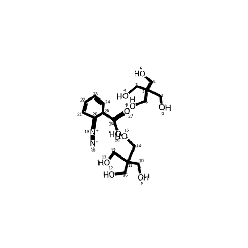 OCC(CO)(CO)CO.OCC(CO)(CO)CO.[N-]=[N+]=C1C=CC=CC1C(=O)O